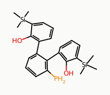 C[Si](C)(C)c1cccc(-c2cccc(P)c2-c2cccc([Si](C)(C)C)c2O)c1O